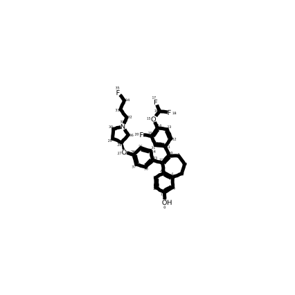 Oc1ccc2c(c1)CCCC(c1ccc(OC(F)F)c(F)c1)=C2c1ccc(O[C@H]2CCN(CCCF)C2)cc1